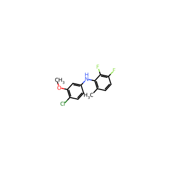 COc1cc(Nc2c(C)ccc(F)c2F)ccc1Cl